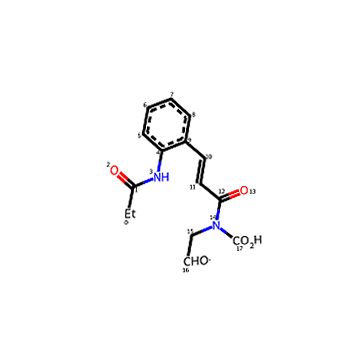 CCC(=O)Nc1ccccc1/C=C/C(=O)N(C[C]=O)C(=O)O